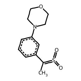 CC(c1cccc(N2CCOCC2)c1)=S(=O)=O